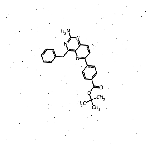 CC(C)(C)OC(=O)c1ccc(-c2ccc3nc(N)nc(Cc4ccccc4)c3n2)cc1